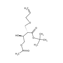 C=CCOC[C@H](C(=O)OC(C)(C)C)[C@H](O)COC(C)=O